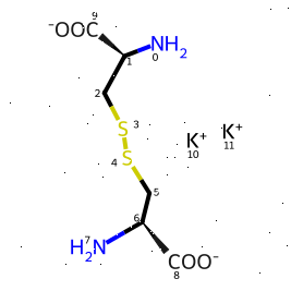 N[C@@H](CSSC[C@H](N)C(=O)[O-])C(=O)[O-].[K+].[K+]